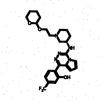 Oc1cc(C(F)(F)F)ccc1-c1nnc(N[C@@H]2CCCN(CCOC3CCCCO3)C2)n2cccc12